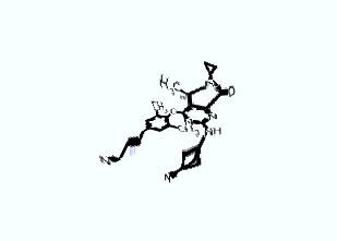 Cc1cc(/C=C/C#N)cc(C)c1Oc1nc(NC23CC(C#N)(C2)C3)nc2c1[C@@H](C)N(C1CC1)C2=O